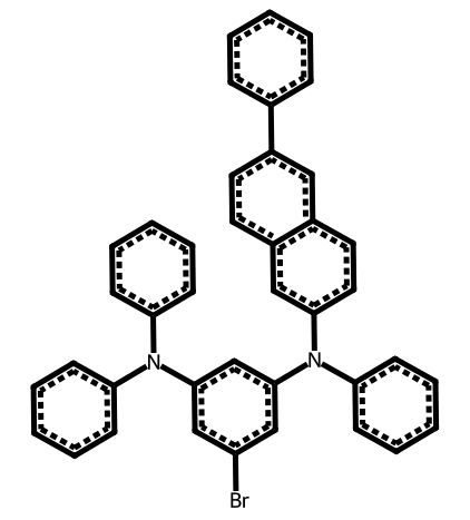 Brc1cc(N(c2ccccc2)c2ccccc2)cc(N(c2ccccc2)c2ccc3cc(-c4ccccc4)ccc3c2)c1